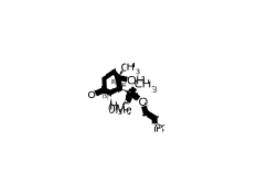 CO[C@@H]1C(=O)CC[C@@](C)(O)[C@@H]1C(C)(C)OCCC(C)C